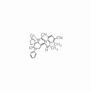 Cc1nc(N[C@H](C)c2cccc(C#N)c2C)c2c(n1)[C@]1(CCN(C)C1)C(=O)N(c1ccccc1)C2